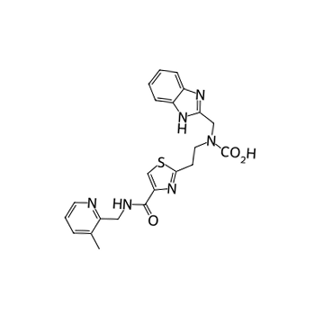 Cc1cccnc1CNC(=O)c1csc(CCN(Cc2nc3ccccc3[nH]2)C(=O)O)n1